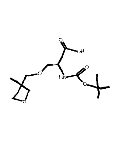 CC1(COC[C@H](NC(=O)OC(C)(C)C)C(=O)O)COC1